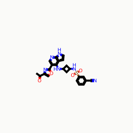 CC(=O)c1coc(-c2cnc3[nH]ccc3c2NC2CC(NS(=O)(=O)c3cccc(C#N)c3)C2)n1